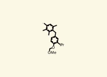 [CH2]c1cc(C)c(Cc2ccc(OCOC)c(C(C)C)c2)c(C)c1C